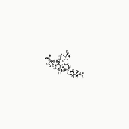 NC1(c2ccnc(-c3cnn(S(=O)(=O)C4CC4)c3)n2)C=C(NC2CCC(C(F)F)CC2)C(c2ccn(C(F)F)n2)=CN1